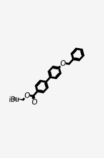 CC[C@H](C)COC(=O)c1ccc(-c2ccc(OCc3ccccc3)cc2)cc1